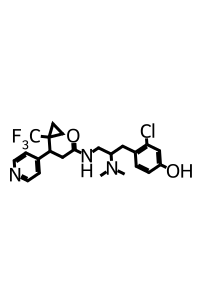 CN(C)C(CNC(=O)CC(c1ccncc1)C1(C(F)(F)F)CC1)Cc1ccc(O)cc1Cl